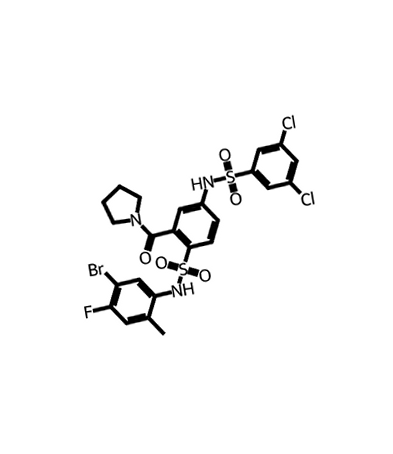 Cc1cc(F)c(Br)cc1NS(=O)(=O)c1ccc(NS(=O)(=O)c2cc(Cl)cc(Cl)c2)cc1C(=O)N1CCCC1